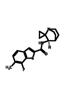 Cc1ccc2cc(C(=O)N[C@@H]3C4CCN(CC4)C34CC4)sc2c1F